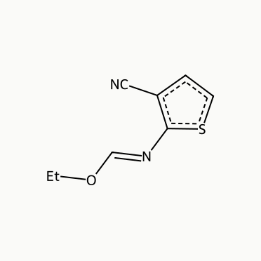 CCOC=Nc1sccc1C#N